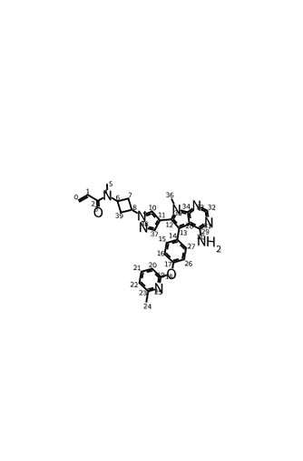 C=CC(=O)N(C)C1CC(n2cc(-c3c(-c4ccc(Oc5cccc(C)n5)cc4)c4c(N)ncnc4n3C)cn2)C1